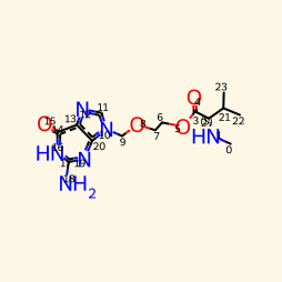 CN[C@H](C(=O)OCCOCn1cnc2c(=O)[nH]c(N)nc21)C(C)C